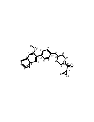 COc1cc2cccnc2cc1-c1ccc(CC2CCN(C(=O)C3CC3)CC2)cc1